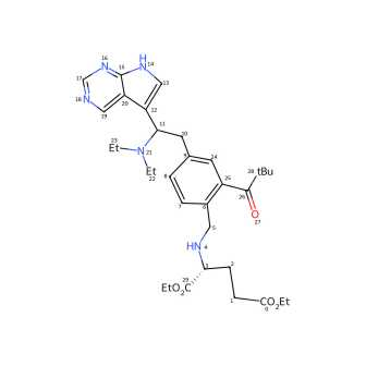 CCOC(=O)CC[C@@H](NCc1ccc(CC(c2c[nH]c3ncncc23)N(CC)CC)cc1C(=O)C(C)(C)C)C(=O)OCC